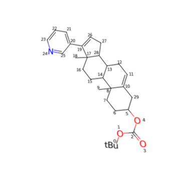 CC(C)(C)OC(=O)OC1CCC2(C)C(=CCC3C2CCC2(C)C(c4cccnc4)=CCC32)C1